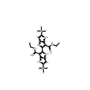 CCOC(=O)c1c(-c2sc3cc([Si](C)(C)C)sc3c2C(=O)OCC)sc2cc([Si](C)(C)C)sc12